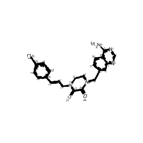 Nc1ncnc2cc(CN3CCN(CC=Cc4ccc(Cl)cc4)C(=O)C3=O)ccc12